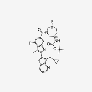 Cc1c(-c2cc3cccnc3n2CC2CC2)nn2cc(C(=O)N3C[C@H](F)CC[C@@H](NC(=O)OC(C)(C)C)C3)cc(F)c12